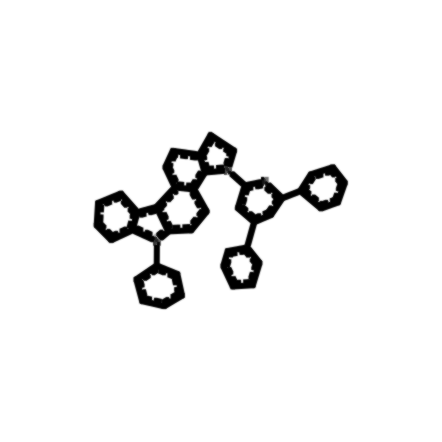 c1ccc(-c2cc(-c3ccccc3)nc(-n3ccc4ccc5c(ccc6c5c5ccccc5n6-c5ccccc5)c43)c2)cc1